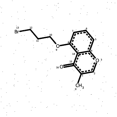 Cc1coc2cccc(OCCCBr)c2c1=O